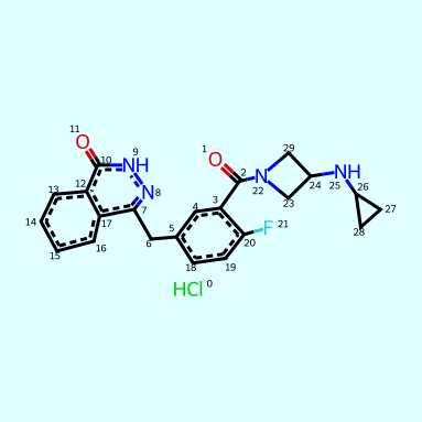 Cl.O=C(c1cc(Cc2n[nH]c(=O)c3ccccc23)ccc1F)N1CC(NC2CC2)C1